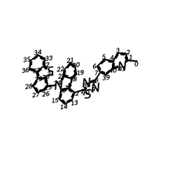 Cc1ccc2ccc(-c3nsc(-c4cccc5c4c4ccccc4n5-c4cccc5c4sc4ccccc45)n3)cc2n1